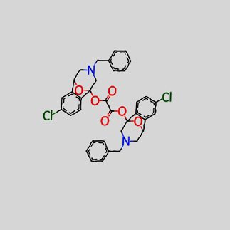 O=C(OC12CN(Cc3ccccc3)CC(O1)c1cc(Cl)ccc12)C(=O)OC12CN(Cc3ccccc3)CC(O1)c1cc(Cl)ccc12